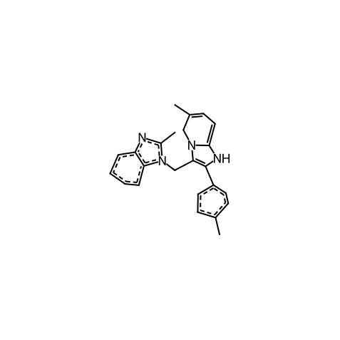 CC1=CC=C2NC(c3ccc(C)cc3)=C(Cn3c(C)nc4ccccc43)N2C1